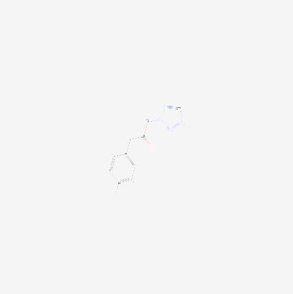 O=C(Cc1ccc(Cl)cc1)Cn1ncnn1